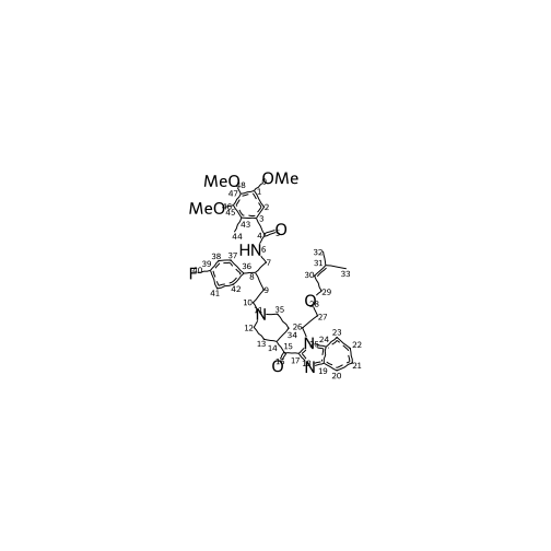 COc1cc(C(=O)NCC(CCN2CCC(C(=O)c3nc4ccccc4n3CCOCC=C(C)C)CC2)c2ccc(F)cc2)c(C)c(OC)c1OC